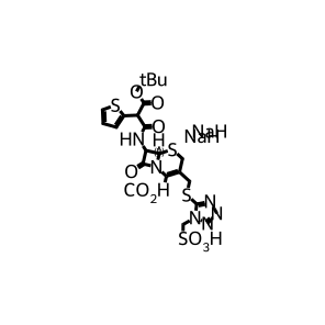 CC(C)(C)OC(=O)C(C(=O)NC1C(=O)N2C(C(=O)O)=C(CSc3nnnn3CS(=O)(=O)O)CS[C@H]12)c1cccs1.[NaH].[NaH]